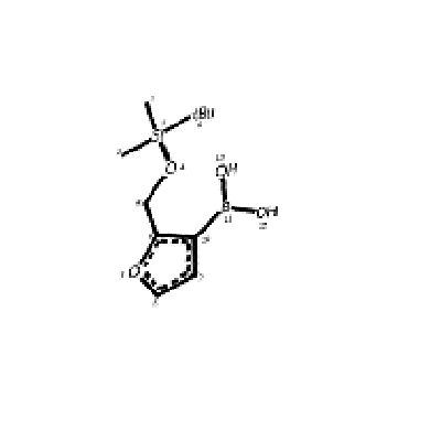 CC(C)(C)[Si](C)(C)OCc1occc1B(O)O